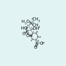 C[N+](C)(C)CC(O)(c1ccc([N+](=O)[O-])cc1)P(=O)(O)O